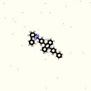 c1ccc(-c2ccc(-c3c4ccccc4c(-c4ccc(-c5nc6cccc7c8ccccc8n5c67)cc4)c4ccccc34)cc2)cc1